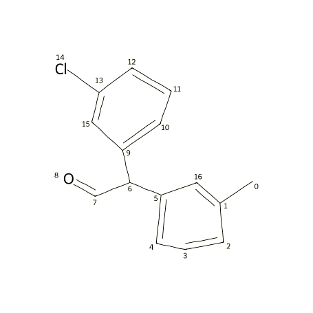 Cc1cccc(C(C=O)c2cccc(Cl)c2)c1